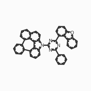 c1ccc(-c2nc(-c3cccc4oc5ccccc5c34)nc(-n3c4cccc5c4c4c6c(cccc6ccc43)-c3ccccc3-5)n2)cc1